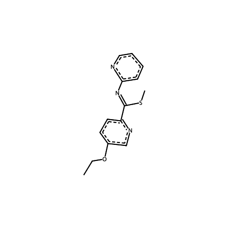 CCOc1ccc(/C(=N/c2ccccn2)SC)nc1